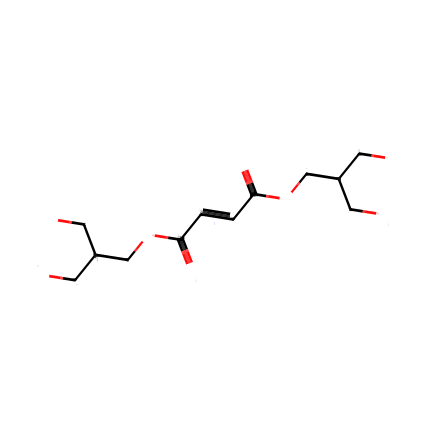 O=C(/C=C/C(=O)OCC(CO)CO)OCC(CO)CO